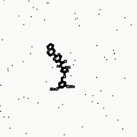 COc1cc(COc2cc(NC(=O)c3cnc(N4CCN5CCCC5C4)nc3)[nH]n2)cc(OC)c1